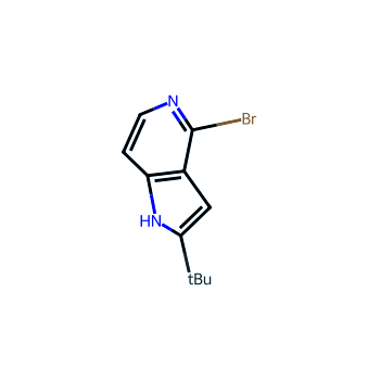 CC(C)(C)c1cc2c(Br)nccc2[nH]1